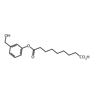 O=C(O)CCCCCCCC(=O)Oc1cccc(CO)c1